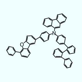 c1ccc(-c2ccccc2-c2ccccc2-c2ccc(N(c3ccc(-c4ccc5oc6c(-c7ccccc7)cccc6c5c4)cc3)c3cc4ccccc4c4ccccc34)cc2)cc1